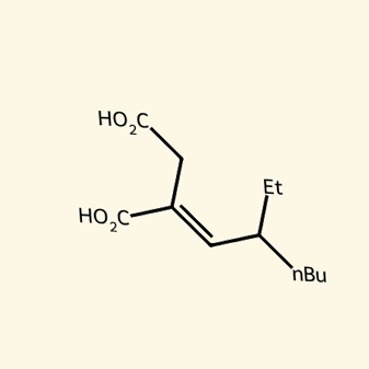 CCCCC(C=C(CC(=O)O)C(=O)O)CC